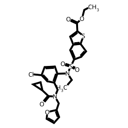 CCOC(=O)c1cc2cc(S(=O)(=O)N(CC)c3ccc(Cl)cc3CN(Cc3ccco3)C(=O)C3CC3)ccc2s1